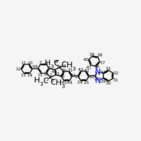 CC1(C)C2=C(c3ccc(-c4ccccc4)cc31)C(C)(C)c1cc(-c3ccc(-c4nc5ccccc5n4-c4ccccc4)cc3)ccc12